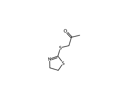 CC(=O)CSC1=NCCS1